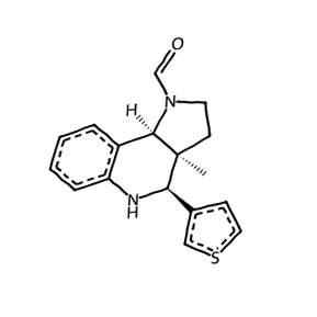 C[C@@]12CCN(C=O)[C@@H]1c1ccccc1N[C@@H]2c1ccsc1